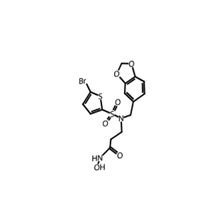 O=C(CCN(Cc1ccc2c(c1)OCO2)S(=O)(=O)c1ccc(Br)s1)NO